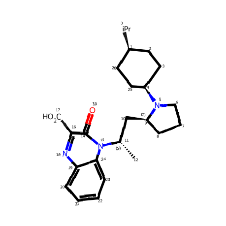 CC(C)[C@H]1CC[C@@H](N2CCC[C@H]2C[C@H](C)n2c(=O)c(C(=O)O)nc3ccccc32)CC1